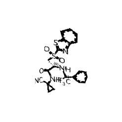 N#CC1(NC(=O)[C@H](CS(=O)(=O)c2nc3ccccc3s2)N[C@@H](c2ccccc2)C(F)(F)F)CC1